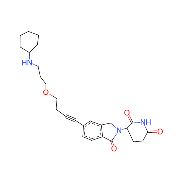 O=C1CCC(N2Cc3cc(C#CCCOCCCNC4CCCCC4)ccc3C2=O)C(=O)N1